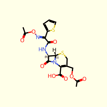 CC(=O)OCC1=C(C(=O)O)N2C(=O)[C@@H](NC(=O)C(=NOC(C)=O)c3cccs3)[C@@H]2SC1